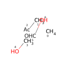 C.CC(C)=O.CO.O=CO